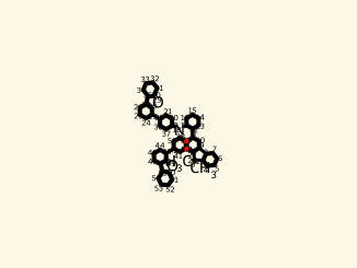 CC1(C)c2ccccc2-c2cc(-c3ccccc3N(c3ccc(-c4cccc5c4oc4ccccc45)cc3)c3cccc(-c4cccc5c4oc4ccccc45)c3)ccc21